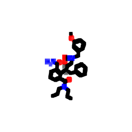 CCCN(CCC)C(=O)c1cccc(C(N)=O)c1[C@H](Cc1ccccc1)[C@@H](O)CNCc1cccc(OC)c1